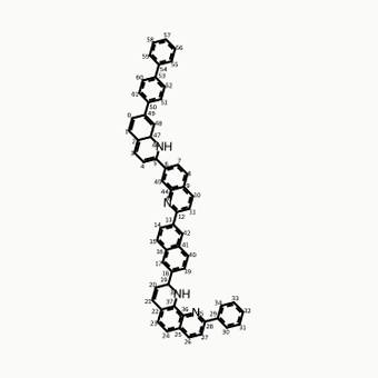 C1=CC2=CC=C(c3ccc4ccc(-c5ccc6cc(C7C=Cc8ccc9ccc(-c%10ccccc%10)nc9c8N7)ccc6c5)nc4c3)NC2C=C1c1ccc(-c2ccccc2)cc1